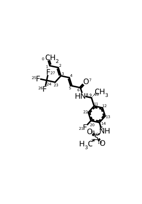 C=C/C=C(/C=C/C(=O)N[C@H](C)c1ccc(NS(C)(=O)=O)c(F)c1)CC(F)(F)F